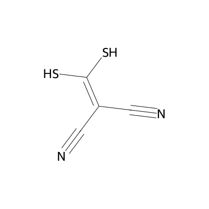 N#CC(C#N)=C(S)S